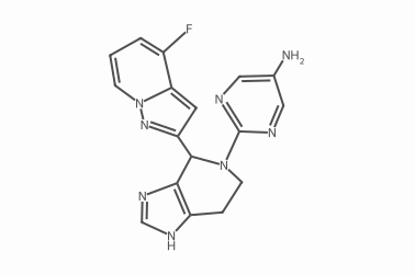 Nc1cnc(N2CCc3[nH]cnc3C2c2cc3c(F)cccn3n2)nc1